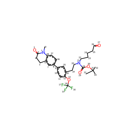 CN1C(=O)CCc2cc(-c3ccc(OC(F)(F)F)c(CCN(CCCCC=O)C(=O)OC(C)(C)C)c3)ccc21